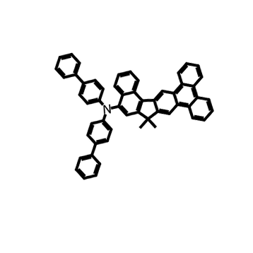 CC1(C)c2cc3c4ccccc4c4ccccc4c3cc2-c2c1cc(N(c1ccc(-c3ccccc3)cc1)c1ccc(-c3ccccc3)cc1)c1ccccc21